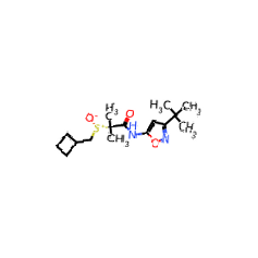 CC(C)(C)c1cc(NC(=O)C(C)(C)[S+]([O-])CC2CCC2)on1